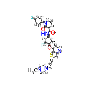 CN1CCN(CC#Cc2cc3nccc(Oc4ccc(NC(=O)c5cccn(-c6ccc(F)cc6)c5=O)cc4F)c3s2)CC1